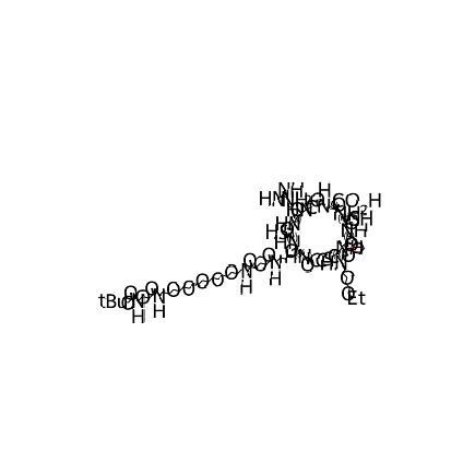 CCOCCOCCNC(=O)[C@@H]1CSCCC(=O)N[C@@H](CCCCNC(=O)COCC(=O)NCCOCCOCCOCCOCCOCCNC(=O)CONC(=O)OC(C)(C)C)C(=O)N[C@@H](CS)C(=O)N[C@@H](CCCNC(=N)N)C(=O)NCC(=O)N[C@@H](CC(=O)O)C(=O)N[C@@H](CS)C(=O)N[C@@H](Cc2ccccc2)C(=O)N1